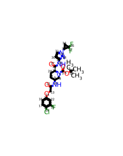 CC(C)(C)OC(=O)N1CC(NC(=O)COc2ccc(Cl)c(F)c2)CC[C@H]1C(=O)Nc1ccn(C2CC2(F)F)n1